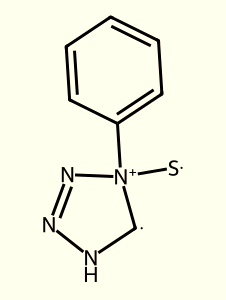 [S][N+]1(c2ccccc2)[CH]NN=N1